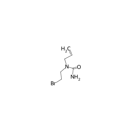 C=CCN(CCBr)C(N)=O